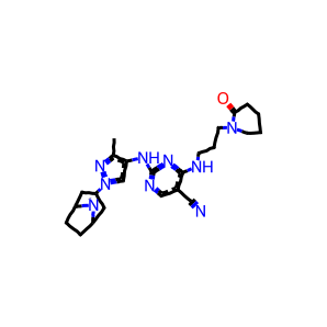 Cc1nn(C2CC3CCC(C2)N3C)cc1Nc1ncc(C#N)c(NCCCN2CCCCC2=O)n1